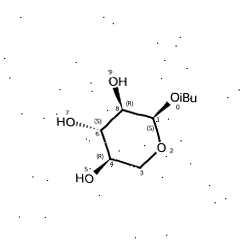 CC(C)CO[C@H]1OC[C@@H](O)[C@H](O)[C@H]1O